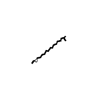 C=COCCCCCCCCCCCCCC(C)C